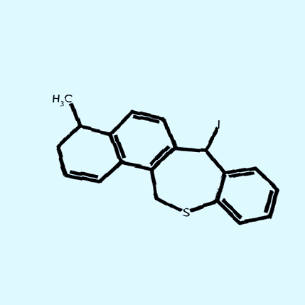 CC1CC=Cc2c1ccc1c2CSc2ccccc2C1I